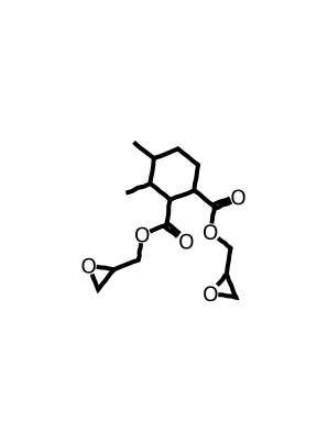 CC1CCC(C(=O)OCC2CO2)C(C(=O)OCC2CO2)C1C